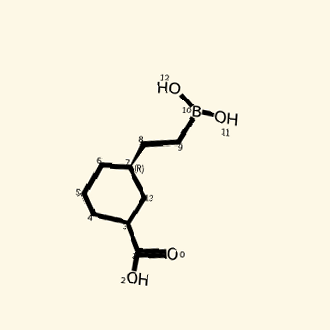 O=C(O)C1CCC[C@@H](CCB(O)O)C1